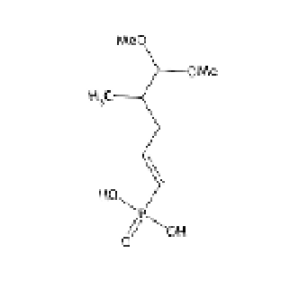 COC(OC)C(C)CC=CP(=O)(O)O